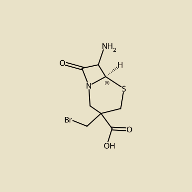 NC1C(=O)N2CC(CBr)(C(=O)O)CS[C@H]12